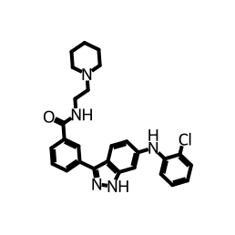 O=C(NCCN1CCCCC1)c1cccc(-c2n[nH]c3cc(Nc4ccccc4Cl)ccc23)c1